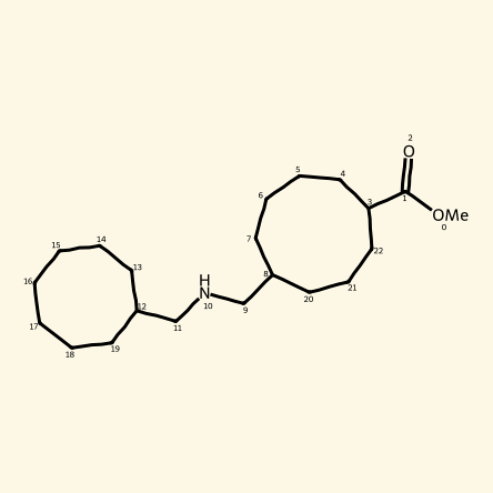 COC(=O)C1CCCCC(CNCC2CCCCCCC2)CCC1